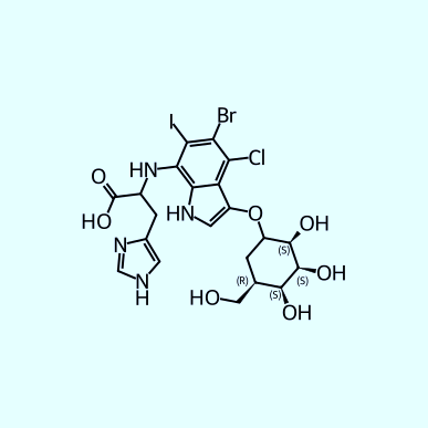 O=C(O)C(Cc1c[nH]cn1)Nc1c(I)c(Br)c(Cl)c2c(OC3C[C@H](CO)[C@H](O)[C@H](O)[C@@H]3O)c[nH]c12